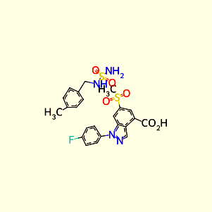 CS(=O)(=O)c1cc(C(=O)O)c2cnn(-c3ccc(F)cc3)c2c1.Cc1ccc(CNS(N)(=O)=O)cc1